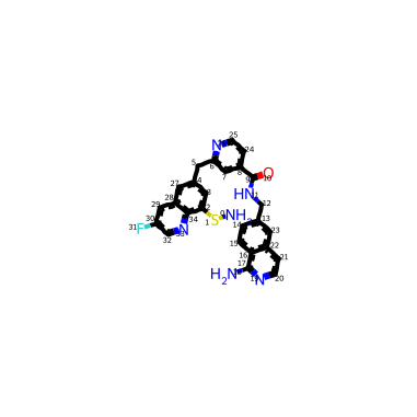 NSc1cc(Cc2cc(C(=O)NCc3ccc4c(N)nccc4c3)ccn2)cc2cc(F)cnc12